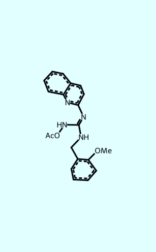 COc1ccccc1CNC(=Nc1ccc2ccccc2n1)NOC(C)=O